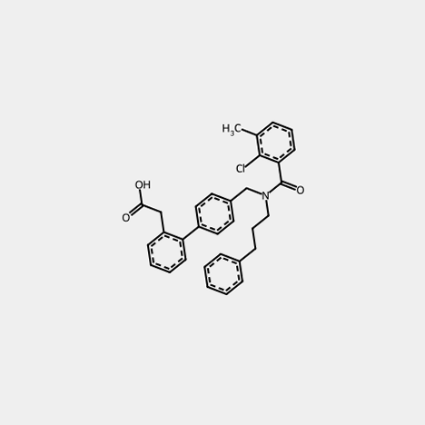 Cc1cccc(C(=O)N(CCCc2ccccc2)Cc2ccc(-c3ccccc3CC(=O)O)cc2)c1Cl